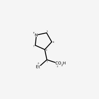 CCC(C(=O)O)C1CC[N]C1